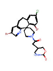 O=C1NCC(CC(=O)N2CCC3(CC2)c2ncc(Br)cc2CCc2cc(Cl)cc(Br)c23)CO1